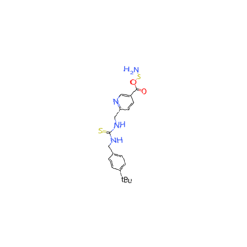 CC(C)(C)c1ccc(CNC(=S)NCc2ccc(C(=O)OSN)cn2)cc1